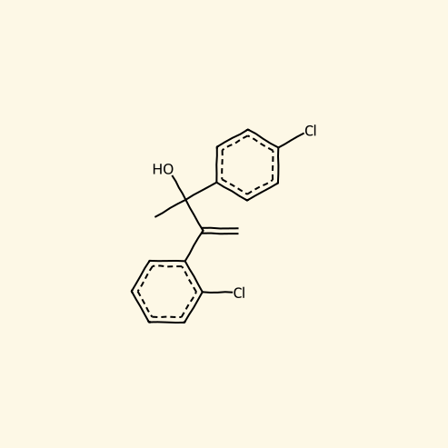 C=C(c1ccccc1Cl)C(C)(O)c1ccc(Cl)cc1